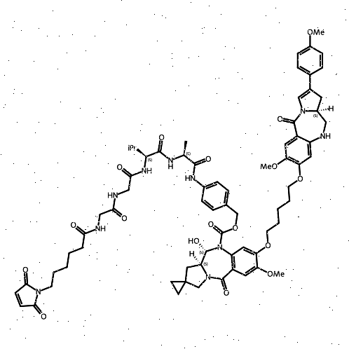 COc1ccc(C2=CN3C(=O)c4cc(OC)c(OCCCCCOc5cc6c(cc5OC)C(=O)N5CC7(CC7)C[C@H]5[C@H](O)N6C(=O)OCc5ccc(NC(=O)[C@H](C)NC(=O)[C@@H](NC(=O)CNC(=O)CNC(=O)CCCCCN6C(=O)C=CC6=O)C(C)C)cc5)cc4NC[C@@H]3C2)cc1